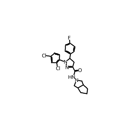 O=C(NN1CC2CCCC2C1)C1=NN(c2ccc(Cl)cc2Cl)C(c2ccc(F)cc2)C1